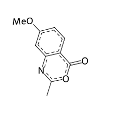 COc1ccc2c(=O)oc(C)nc2c1